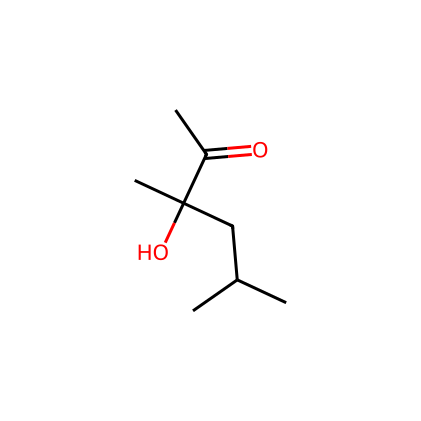 CC(=O)C(C)(O)CC(C)C